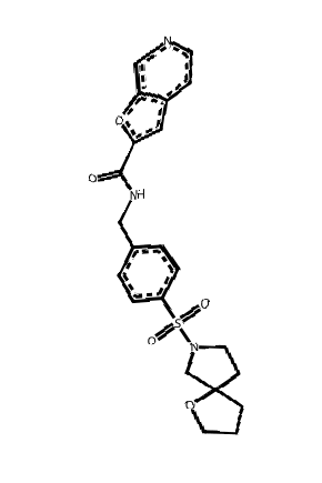 O=C(NCc1ccc(S(=O)(=O)N2CCC3(CCCO3)C2)cc1)c1cc2ccncc2o1